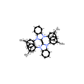 CC(C)(C)c1cc(N2C(=C3N(c4cc(C(C)(C)C)cc(C(C)(C)C)c4)c4ccccc4N3c3cc(C(C)(C)C)cc(C(C)(C)C)c3)N(c3cc(C(C)(C)C)cc(C(C)(C)C)c3)c3ccccc32)cc(C(C)(C)C)c1